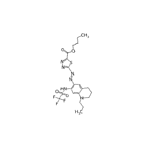 CCCCOC(=O)c1nnc(N=Nc2cc3c(cc2NS(=O)(=O)C(F)(F)F)N(CCC)CCC3)s1